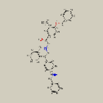 O=C(CN(CCc1ccc(NCc2ccccc2)cc1)Cc1ccccc1)c1ccc(OCc2ccccc2)c([N+](=O)[O-])c1